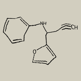 C#CC(Nc1ccccc1)c1ccco1